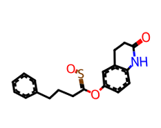 O=S=C(CCCc1ccccc1)Oc1ccc2c(c1)CCC(=O)N2